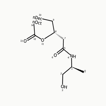 [CH2][C@@H](CO)NC(=O)C[C@@H](CCCCCCCCCCC)OC(=O)CCCCCCCC